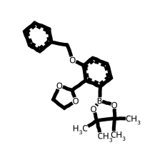 CC1(C)OB(c2cccc(OCc3ccccc3)c2C2OCCO2)OC1(C)C